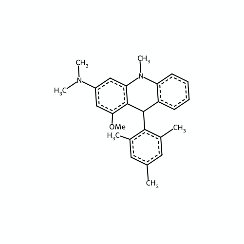 COc1cc(N(C)C)cc2c1C(c1c(C)cc(C)cc1C)c1ccccc1N2C